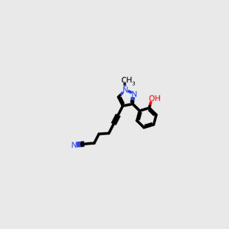 Cn1cc(C#CCCCC#N)c(-c2ccccc2O)n1